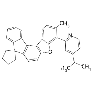 Cc1ccc2c(oc3ccc4c(c32)-c2ccccc2C42CCCC2)c1-c1cc(C(C)C)ccn1